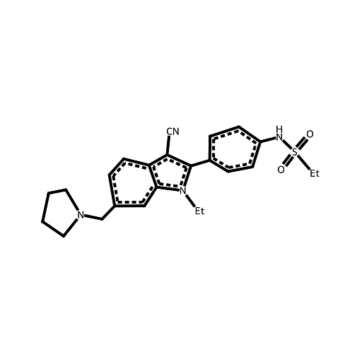 CCn1c(-c2ccc(NS(=O)(=O)CC)cc2)c(C#N)c2ccc(CN3CCCC3)cc21